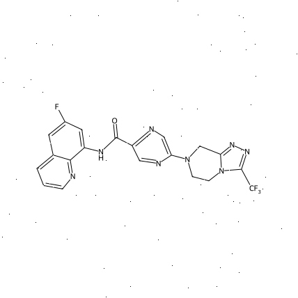 O=C(Nc1cc(F)cc2cccnc12)c1cnc(N2CCn3c(nnc3C(F)(F)F)C2)cn1